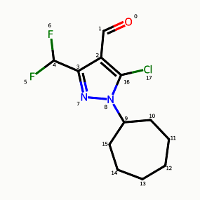 O=Cc1c(C(F)F)nn(C2CCCCCC2)c1Cl